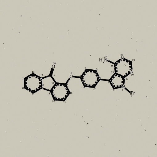 CC(C)n1cc(-c2ccc(Oc3cccc4c3C(=O)c3ccccc3-4)cc2)c2c(N)ncnc21